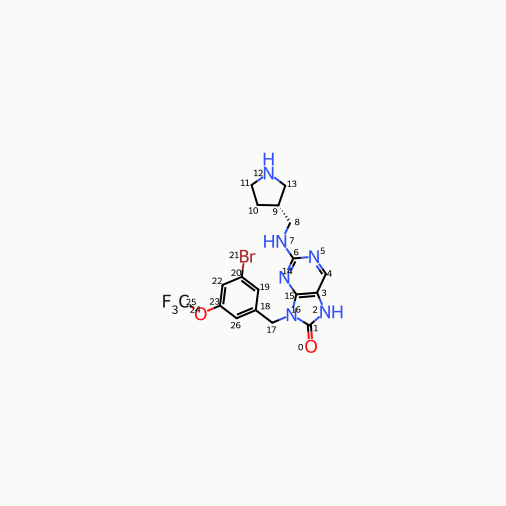 O=c1[nH]c2cnc(NC[C@@H]3CCNC3)nc2n1Cc1cc(Br)cc(OC(F)(F)F)c1